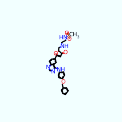 CS(=O)(=O)NCCNCC1OC(c2ccc3ncnc(Nc4ccc(OCc5ccccc5)cc4)c3c2)=CC1=O